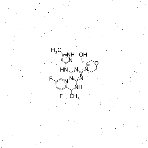 Cc1cc(Nc2nc(NC(C)c3ncc(F)cc3F)nc(N3CCOC[C@H]3CO)n2)n[nH]1